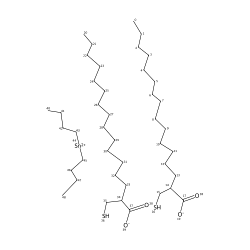 CCCCCCCCCCCCCCC(CS)C(=O)[O-].CCCCCCCCCCCCCCC(CS)C(=O)[O-].CCC[CH2][Sn+2][CH2]CCC